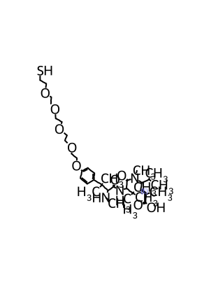 CNC(C(=O)NC(C(=O)N(C)C(/C=C(\C)C(=O)O)C(C)C)C(C)(C)C)C(C)(C)c1ccc(OCCOCCOCCOCCOCCS)cc1